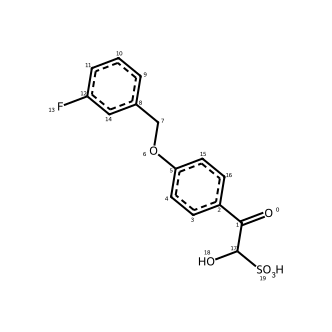 O=C(c1ccc(OCc2cccc(F)c2)cc1)C(O)S(=O)(=O)O